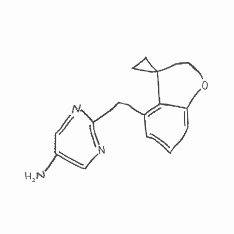 Nc1cnc(Cc2cccc3c2C2(CC2)CO3)nc1